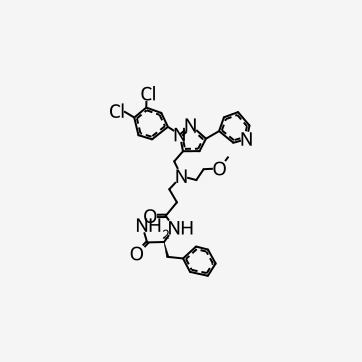 COCCN(CCC(=O)N[C@@H](Cc1ccccc1)C(N)=O)Cc1cc(-c2cccnc2)nn1-c1ccc(Cl)c(Cl)c1